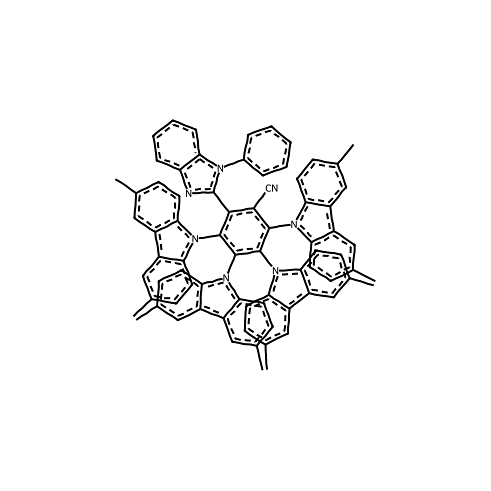 Cc1ccc2c(c1)c1cc(C)ccc1n2-c1c(C#N)c(-c2nc3ccccc3n2-c2ccccc2)c(-n2c3ccc(C)cc3c3cc(C)ccc32)c(-n2c3ccc(C)cc3c3cc(C)ccc32)c1-n1c2ccc(C)cc2c2cc(C)ccc21